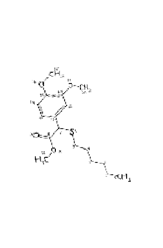 CCCCCCSC(C(=O)OC)c1ccc(OC)c(OC)c1